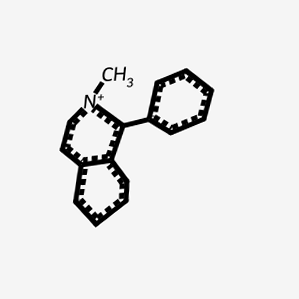 C[n+]1ccc2ccccc2c1-c1ccccc1